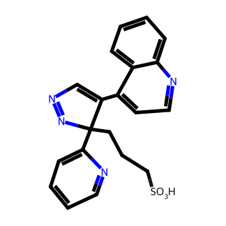 O=S(=O)(O)CCCC1(c2ccccn2)N=NC=C1c1ccnc2ccccc12